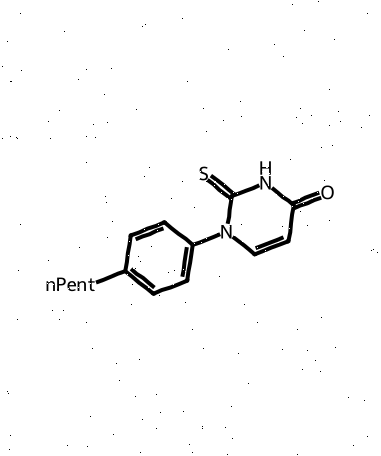 CCCCCc1ccc(-n2ccc(=O)[nH]c2=S)cc1